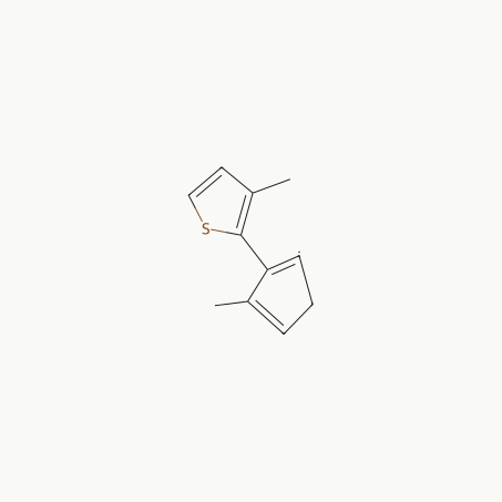 CC1=CC[C]=C1c1sccc1C